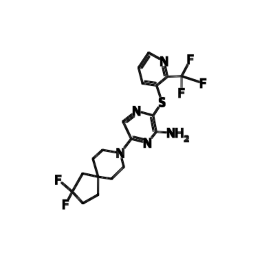 Nc1nc(N2CCC3(CC2)CCC(F)(F)C3)cnc1Sc1cccnc1C(F)(F)F